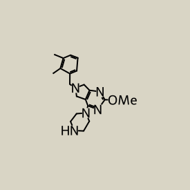 COc1nc2c(c(N3CCNCC3)n1)CN(Cc1cccc(C)c1C)C2